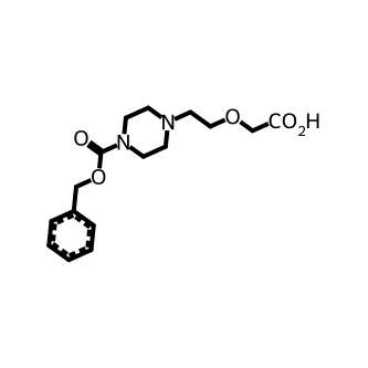 O=C(O)COCCN1CCN(C(=O)OCc2ccccc2)CC1